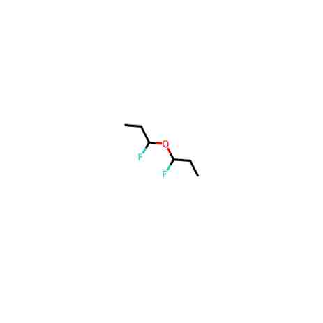 CCC(F)OC(F)CC